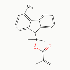 C=C(C)C(=O)OC(C)(C)C1c2ccccc2-c2c1cccc2C(F)(F)F